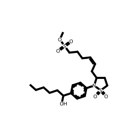 CCCCCC(O)c1ccc(N2C(C/C=C\CCCS(=O)(=O)OC)CCS2(=O)=O)cc1